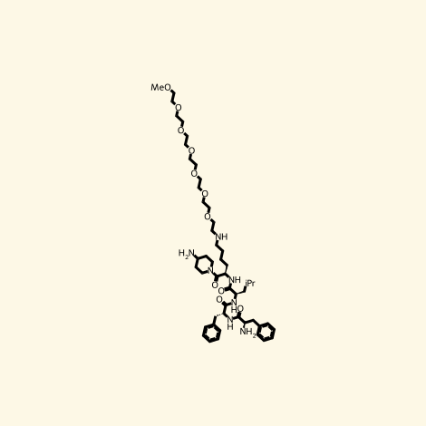 COCCOCCOCCOCCOCCOCCOCCNCCCC[C@@H](NC(=O)[C@@H](CC(C)C)NC(=O)[C@@H](Cc1ccccc1)NC(=O)[C@H](N)Cc1ccccc1)C(=O)N1CCC(N)CC1